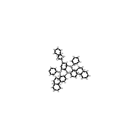 c1ccc(N2c3cc(-c4nc5ccccc5o4)cc4c3B(c3ccc5c(ccc6ccccc65)c32)c2ccc3c(ccc5ccccc53)c2N4c2ccccc2)cc1